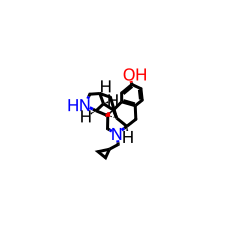 Oc1ccc2c(c1)[C@]13CCN(CC4CC4)[C@H](C2)[C@]12CC[C@H]1NC[C@@H](C2)[C@H]13